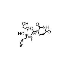 C=C=CC[C@]1(O)[C@H](F)[C@H](n2ccc(=O)[nH]c2=O)O[C@@H]1CO